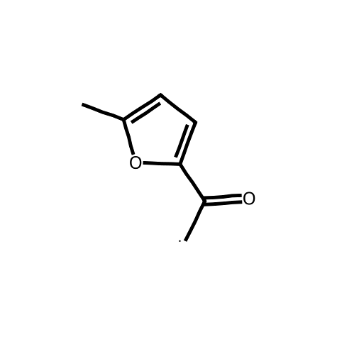 [CH2]C(=O)c1ccc(C)o1